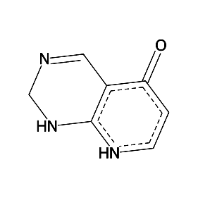 O=c1cc[nH]c2c1C=NCN2